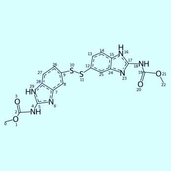 COC(=O)Nc1nc2cc(SSc3ccc4[nH]c(NC(=O)OC)nc4c3)ccc2[nH]1